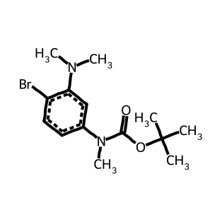 CN(C)c1cc(N(C)C(=O)OC(C)(C)C)ccc1Br